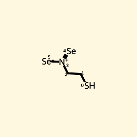 SCC[N+](=[Se])[Se-]